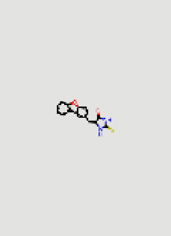 O=C1NC(=S)N/C1=C/c1ccc2oc3ccccc3c2c1